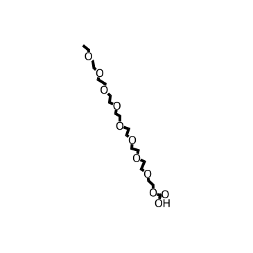 CCOCCOCCOCCOCCOCCOCCOCCOCCOC(=O)O